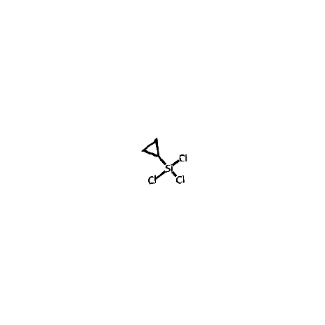 Cl[Si](Cl)(Cl)C1CC1